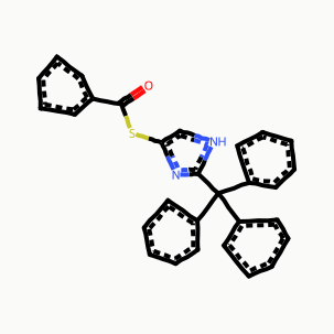 O=C(Sc1c[nH]c(C(c2ccccc2)(c2ccccc2)c2ccccc2)n1)c1ccccc1